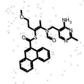 COCC/C(SC(=O)c1cc2ccccc2c2ccccc12)=C(\C)N(C=O)Cc1cnc(C)nc1N